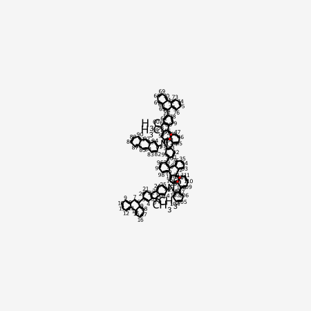 CC1(C)c2cc(-c3cc4ccccc4c4ccccc34)ccc2-c2ccc(N(c3ccc4c5ccccc5c5c(-c6ccc(-c7ccccc7)c(N(c7ccc8c(c7)C(C)(C)c7cc(-c9cc%10ccccc%10c%10ccccc9%10)ccc7-8)c7ccc8cc9ccccc9cc8c7)c6)cccc5c4c3)c3ccccc3-c3ccccc3)cc21